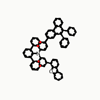 c1ccc(-c2cccc(-c3ccccc3)c2N(c2ccc(-c3ccc4c(c3)c(-c3ccccc3)c(-c3ccccc3)c3ccccc34)cc2)c2cccc(-c3cccc4c3oc3ccccc34)c2)cc1